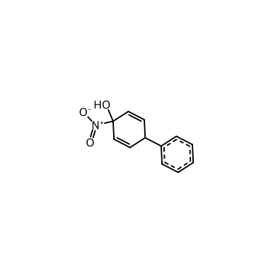 O=[N+]([O-])C1(O)C=CC(c2ccccc2)C=C1